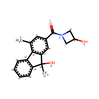 Cc1cc(C(=O)N2CC(O)C2)cc2c1-c1ccccc1C2(O)C(F)(F)F